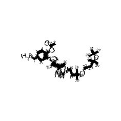 BCc1ccc(OC(C)=O)c(OCc2cn(CCC(C)(C)OCCC(C)(C)OC(C)(C)C)nn2)c1